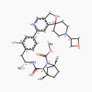 CC(C)(C)OC(=O)N1[C@@H]2CC[C@@H](C2)[C@H]1C(=O)N[C@H](C#N)Cc1ccc(-c2cc3c(cn2)COC32CCN(C3COC3)CC2)cc1F